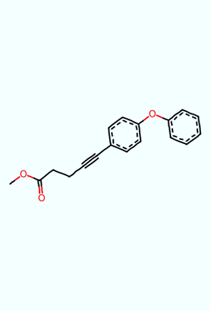 COC(=O)CCC#Cc1ccc(Oc2ccccc2)cc1